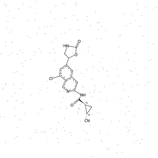 N#C[C@H]1C[C@@H]1C(=O)Nc1cc2cc(C3CNC(=O)O3)cc(Cl)c2cn1